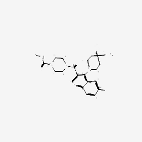 CCNC(=O)N1CCN(C(=O)c2cnc3ccc(F)cc3c2N2CCC(C)(C#N)CC2)CC1